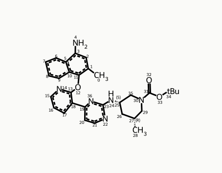 Cc1cc(N)c2ccccc2c1Oc1ncccc1-c1ccnc(N[C@H]2C[C@@H](C)CN(C(=O)OC(C)(C)C)C2)n1